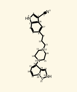 N#Cc1c[nH]c2ccc(CCCN3CCN(C4=CC=CN5SNC=C45)CC3)cc12